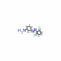 Nc1cccc(/N=N/c2c(F)cccc2F)c1